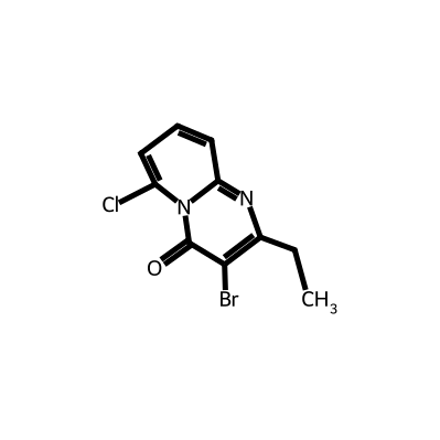 CCc1nc2cccc(Cl)n2c(=O)c1Br